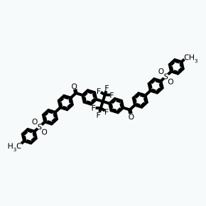 Cc1ccc(S(=O)(=O)c2ccc(-c3ccc(C(=O)c4ccc(C(c5ccc(C(=O)c6ccc(-c7ccc(S(=O)(=O)c8ccc(C)cc8)cc7)cc6)cc5)(C(F)(F)F)C(F)(F)F)cc4)cc3)cc2)cc1